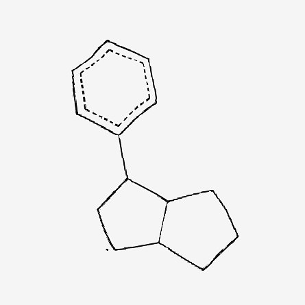 [CH]1CC(c2ccccc2)C2CCCC12